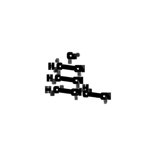 CC#N.CC#N.CC#N.CC#N.[Cu+]